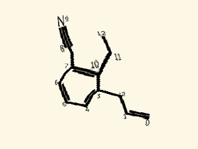 C=C[CH]c1cccc(C#N)c1CC